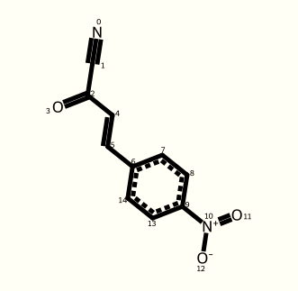 N#CC(=O)C=Cc1ccc([N+](=O)[O-])cc1